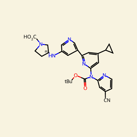 CC(C)(C)OC(=O)N(c1cc(C#N)ccn1)c1cc(C2CC2)cc(-c2cncc(N[C@@H]3CCN(C(=O)O)C3)c2)n1